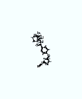 C[C@H]1[C@H](NC(=O)c2ccc(Oc3cnc(C#N)s3)cc2)C2CCN1CC2